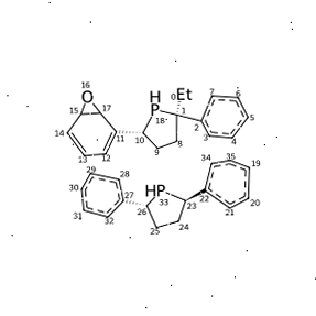 CC[C@]1(c2ccccc2)CC[C@H](C2=CC=CC3OC23)P1.c1ccc([C@H]2CC[C@H](c3ccccc3)P2)cc1